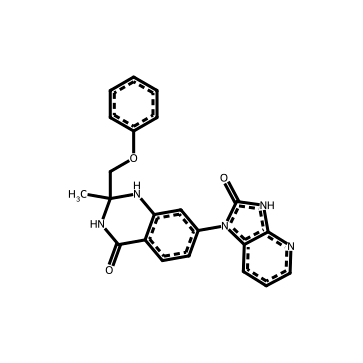 CC1(COc2ccccc2)NC(=O)c2ccc(-n3c(=O)[nH]c4ncccc43)cc2N1